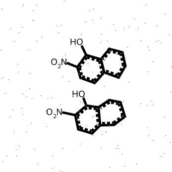 O=[N+]([O-])c1ccc2ccccc2c1O.O=[N+]([O-])c1ccc2ccccc2c1O